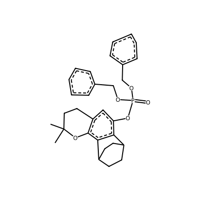 CC1(C)CCc2cc(OP(=O)(OCc3ccccc3)OCc3ccccc3)c3c(c2O1)C1CCC3CC1